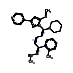 C=Nc1cc(-c2ccncc2)nn1\C(=C/C=C\C(=N/NC)c1ccccc1C)N1CCCCC1